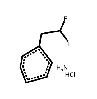 Cl.FC(F)Cc1ccccc1.N